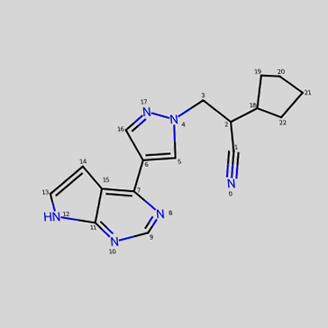 N#CC(Cn1cc(-c2ncnc3[nH]ccc23)cn1)C1CCCC1